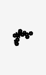 c1ccc(-c2cc3oc4c(ccc5c4c4ccccc4n5-c4nc(-c5ccc6c(c5)sc5ccccc56)c5ccccc5n4)c3c3ccccc23)cc1